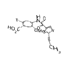 CC#Cc1ncc(S(=O)(=O)Nc2cc(F)c(C(=O)O)cc2OC)s1